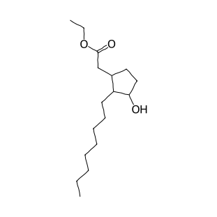 CCCCCCCCC1C(O)CCC1CC(=O)OCC